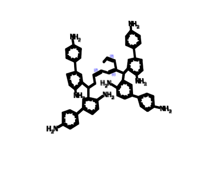 C\C=C/C(=C\C=C/CC(c1cc(-c2ccc(N)cc2)ccc1N)c1cc(-c2ccc(N)cc2)ccc1N)C(c1cc(-c2ccc(N)cc2)ccc1N)c1cc(-c2ccc(N)cc2)ccc1N